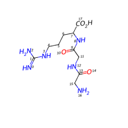 N=C(N)NCCCC(NC(=O)CNC(=O)CN)C(=O)O